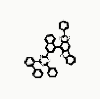 c1ccc(-c2nc(-c3cc(-c4c5nc(-c6ccccc6)oc5cc5c4oc4ccccc45)c4ccccc4c3)nc(-c3ccccc3-c3ccccc3)n2)cc1